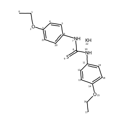 CCOc1ccc(NC(=S)Nc2ccc(OCC)cc2)cc1.[KH]